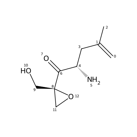 C=C(C)C[C@H](N)C(=O)[C@@]1(CO)CO1